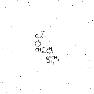 CO[C@@H](C)c1nnc2cc(-c3cc(C(=O)NC4CC4)ccc3C)ccn12